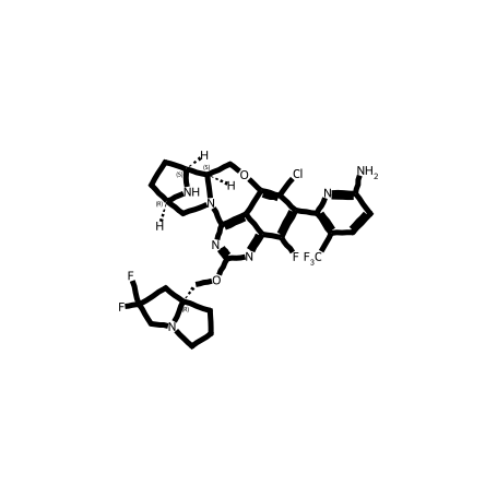 Nc1ccc(C(F)(F)F)c(-c2c(Cl)c3c4c(nc(OC[C@]56CCCN5CC(F)(F)C6)nc4c2F)N2C[C@H]4CC[C@H](N4)[C@H]2CO3)n1